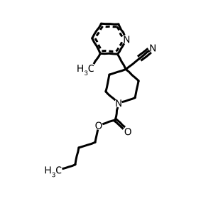 CCCCOC(=O)N1CCC(C#N)(c2ncccc2C)CC1